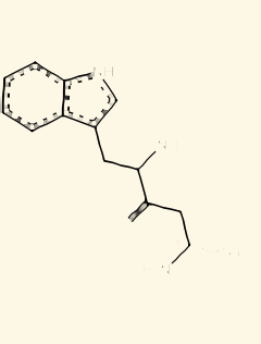 NC(Cc1c[nH]c2ccccc12)C(=O)C[C@@H](N)C(=O)O